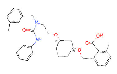 Cc1cccc(CN(CCO[C@H]2CCC[C@@H](OCc3cccc(C)c3C(=O)O)C2)C(=O)Nc2ccccc2)c1